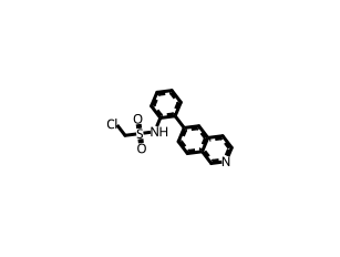 O=S(=O)(CCl)Nc1ccccc1-c1ccc2cnccc2c1